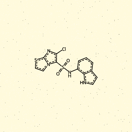 O=S(=O)(Nc1cccc2cc[nH]c12)c1c(Cl)nc2sccn12